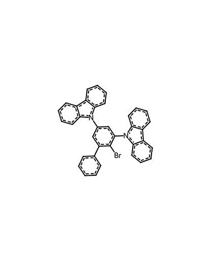 Brc1c(-c2ccccc2)cc(-n2c3ccccc3c3ccccc32)cc1-n1c2ccccc2c2ccccc21